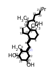 C=C1/C(=C\C=C2CCC[C@@]3(C)C2CC[C@@H]3[C@H](C)C(O)CCC(C)C)C[C@@H](O)C[C@H]1O